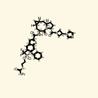 CCCC(=O)SCCOP(=O)(Oc1ccccc1)C(F)(F)c1ccc2sc(C(=O)N[C@H]3C[C@@H]4C[C@@H]4C[C@H]4CC[C@@H](C(=O)N5CC(n6ccnc6)C5)N4C3=O)cc2c1